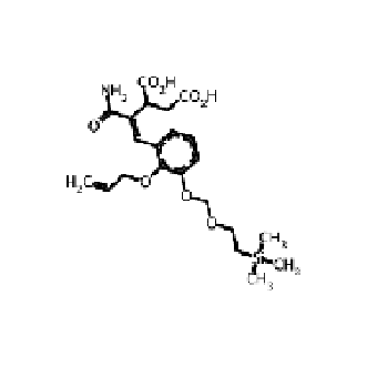 C=CCOc1c(C=C(C(N)=O)C(CC(=O)O)C(=O)O)cccc1OCOCC[Si](C)(C)C